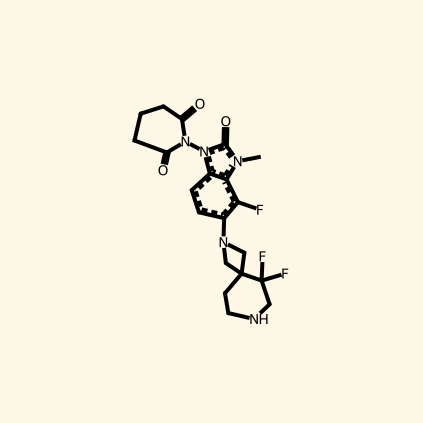 Cn1c(=O)n(N2C(=O)CCCC2=O)c2ccc(N3CC4(CCNCC4(F)F)C3)c(F)c21